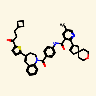 Cc1cnc(C2=CCC3(CCOCC3)C2)c(C(=O)Nc2ccc(C(=O)N3CCC(c4ccc(C(=O)CCC5CCC5)s4)=Cc4ccccc43)cc2)c1